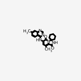 Cc1ccc2c(Nc3cc(C)c4n(c3=O)C3(CCCCC3)NC4=O)ncnc2c1